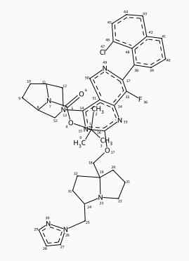 CC(C)(C)OC(=O)N1C2CCC1CN(c1nc(OCC34CCCN3C(Cn3cccn3)CC4)nc3c(F)c(-c4cccc5cccc(Cl)c45)ncc13)C2